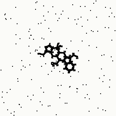 CCc1ccc(CC)n1CC1C(CC)Cc2c(c3ccccc3n2CC)C1C=O